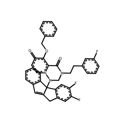 O=C1c2c(OCc3ccccc3)c(=O)ccn2N(C23C(=Cc4ccccc42)Cc2cc(F)c(F)cc23)CN1CCc1cccc(F)c1